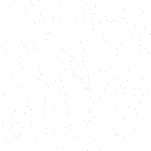 NC1C=CSC1C(=O)O